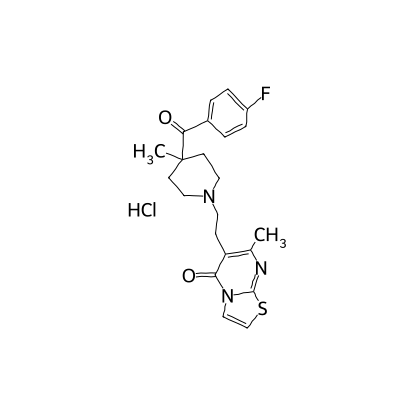 Cc1nc2sccn2c(=O)c1CCN1CCC(C)(C(=O)c2ccc(F)cc2)CC1.Cl